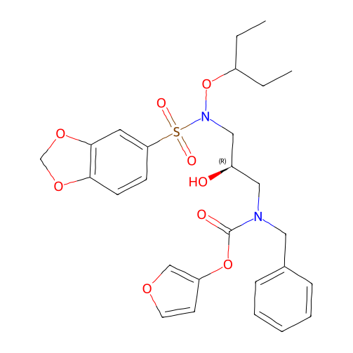 CCC(CC)ON(C[C@H](O)CN(Cc1ccccc1)C(=O)Oc1ccoc1)S(=O)(=O)c1ccc2c(c1)OCO2